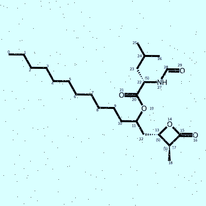 CCCCCCCCCCCC(C[C@@H]1OC(=O)[C@H]1C)OC(=O)[C@H](CC(C)C)NC=O